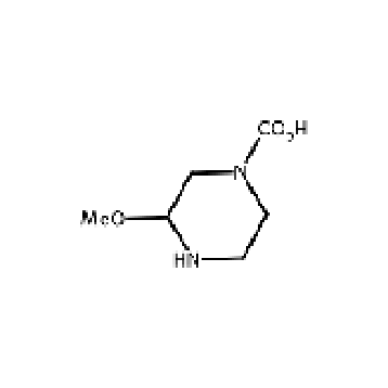 COC1CN(C(=O)O)CCN1